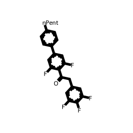 CCCCCc1ccc(-c2cc(F)c(C(=O)Cc3cc(F)c(F)c(F)c3)c(F)c2)cc1